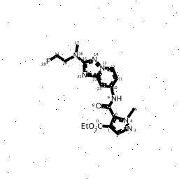 CCOC(=O)c1cnn(C)c1C(=O)Nc1ccn2nc(N(C)CCF)nc2c1